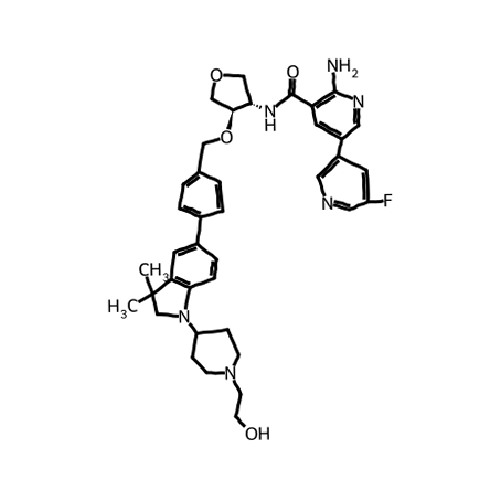 CC1(C)CN(C2CCN(CCO)CC2)c2ccc(-c3ccc(CO[C@H]4COC[C@@H]4NC(=O)c4cc(-c5cncc(F)c5)cnc4N)cc3)cc21